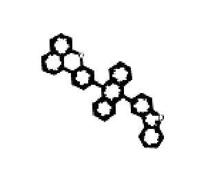 c1cc2c3c(cccc3c1)-c1ccc(-c3c4ccccc4c(-c4ccc5oc6ccccc6c5c4)c4ccccc34)cc1O2